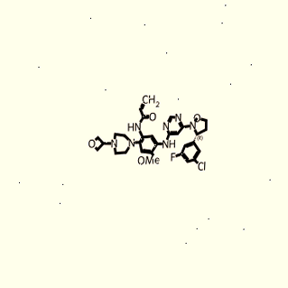 C=CC(=O)Nc1cc(Nc2cc(N3OCC[C@@H]3c3cc(F)cc(Cl)c3)ncn2)c(OC)cc1N1CCN(C2COC2)CC1